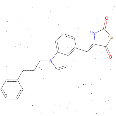 O=C1NC(=Cc2cccc3c2ccn3CCCc2ccccc2)C(=O)S1